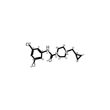 O=C(Nc1cc(Cl)cc(Cl)c1)N1CCN(CC2CC2)CC1